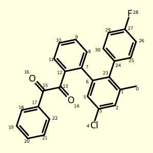 Cc1cc(Cl)cc(-c2ccccc2C(=O)C(=O)c2ccccc2)c1-c1ccc(F)cc1